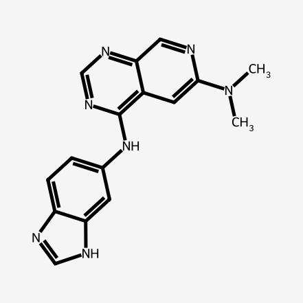 CN(C)c1cc2c(Nc3ccc4nc[nH]c4c3)ncnc2cn1